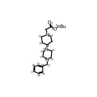 CCCCOC(=O)CN1CCC(N2CCN(Cc3ccccc3)CC2)CC1